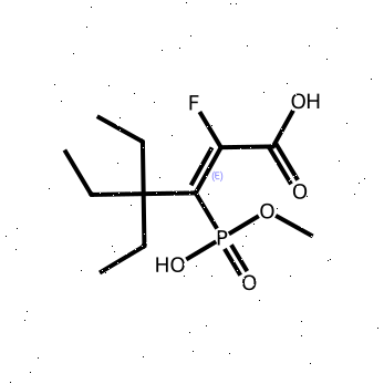 CCC(CC)(CC)/C(=C(\F)C(=O)O)P(=O)(O)OC